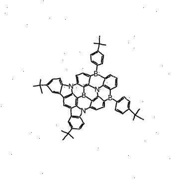 CC(C)(C)c1ccc(B2c3cccc4c3N3c5c2ccc2c5B5c6c(ccc(c63)B4c3ccc(C(C)(C)C)cc3)-n3c4ccc(C(C)(C)C)cc4c4cc6c7cc(C(C)(C)C)ccc7n-2c6c5c43)cc1